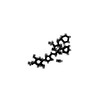 C[C@H](N[P@](=O)(OC[C@H]1OC[C@@H](n2cc(F)c(N)nc2=O)O1)Oc1ccccc1)C(=O)OC1CCCCC1.Cl